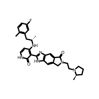 Cc1ccc(F)cc1C[C@H](C)Nc1cc[nH]c(=O)c1-c1nc2cc3c(cc2[nH]1)CN(CCN1CCC[C@H]1C)C3=O